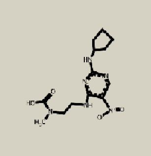 CN(CCNc1nc(NC2CCCC2)ncc1[N+](=O)[O-])C(=O)O